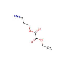 CCOC(=O)C(=O)OCCC=N